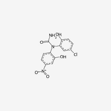 NC(=O)N(c1ccc([N+](=O)[O-])cc1O)c1cc(Cl)ccc1O